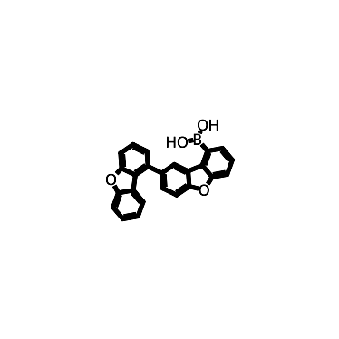 OB(O)c1cccc2oc3ccc(-c4cccc5oc6ccccc6c45)cc3c12